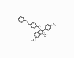 COc1ccc(-c2c(Oc3ccc(OCc4ccccc4)cc3)c3ccc(OC)cc3[s+]2[O-])cc1